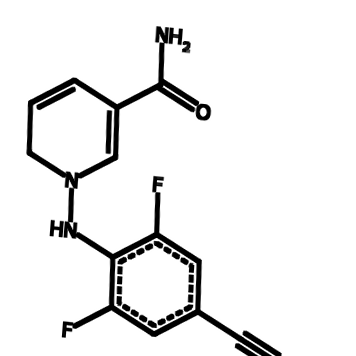 N#Cc1cc(F)c(NN2C=C(C(N)=O)C=CC2)c(F)c1